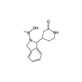 CB(O)N1Cc2ccccc2C1C1CCNC(=O)C1